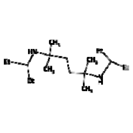 CCC(CC)NC(C)(C)CCC(C)(C)NC(CC)CC